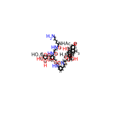 CC(=O)N[C@@H](CCCCN)C(=O)NCCC(=O)Nc1cc(COC(=O)Nc2cccc(Cc3ncc([C@@H]4O[C@@H]5C[C@H]6[C@@H]7CCC8=CC(=O)C=C[C@]8(C)[C@H]7[C@@H](O)C[C@]6(C)[C@]5(C(=O)CO)O4)s3)c2)ccc1O[C@@H]1O[C@H](C(=O)O)[C@@H](O)[C@H](O)[C@H]1O